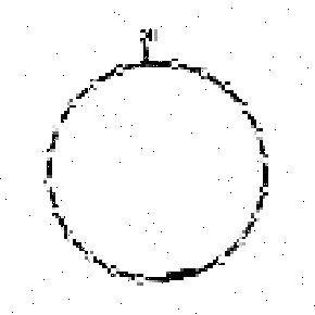 OC1CCCCCCCCCCC=CCCCCCCCCCCC1